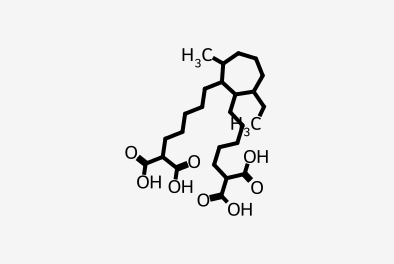 CCC1CCCC(C)C(CCCCCC(C(=O)O)C(=O)O)C1CCCCCC(C(=O)O)C(=O)O